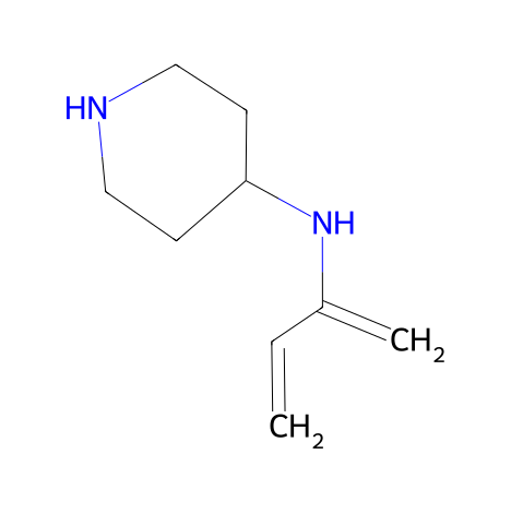 C=CC(=C)NC1CCNCC1